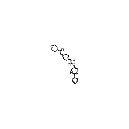 O=C(NN1CCN(CC(=O)N2CCOCC2)CC1)Oc1cnc(-c2ccccc2)nc1